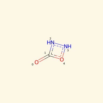 O=c1[nH][nH]o1